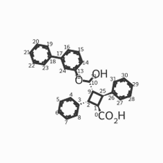 O=C(O)[C@H]1[C@H](c2ccccc2)[C@H](C(O)Oc2cccc(-c3ccccc3)c2)[C@H]1c1ccccc1